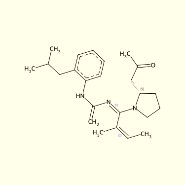 C=C(/N=C(\C(C)=C/C)N1CCC[C@H]1CC(C)=O)Nc1ccccc1CC(C)C